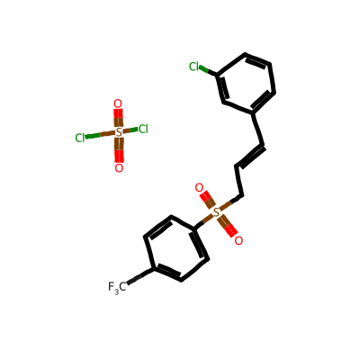 O=S(=O)(CC=Cc1cccc(Cl)c1)c1ccc(C(F)(F)F)cc1.O=S(=O)(Cl)Cl